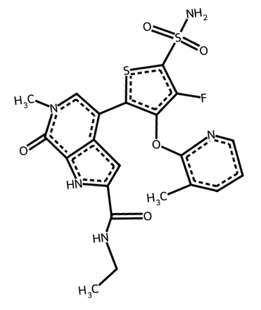 CCNC(=O)c1cc2c(-c3sc(S(N)(=O)=O)c(F)c3Oc3ncccc3C)cn(C)c(=O)c2[nH]1